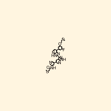 CN(C)CCOc1cc(F)cc(-c2ccnc3[nH]c(-c4n[nH]c5ncc(-c6cncc(NC(=O)CN(C)C)c6)cc45)nc23)c1